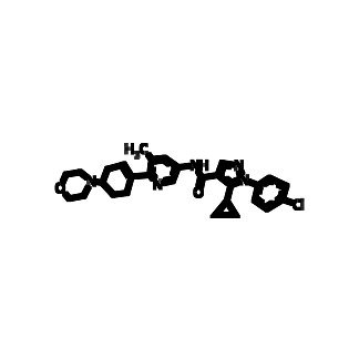 Cc1cc(NC(=O)c2cnn(-c3ccc(Cl)cc3)c2C2CC2)cnc1C1=CCC(N2CCOCC2)CC1